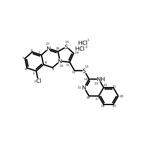 Cl.Cl.Clc1cccc2c1CN1C(CSC3=NCc4ccccc4N3)=CSC1=N2